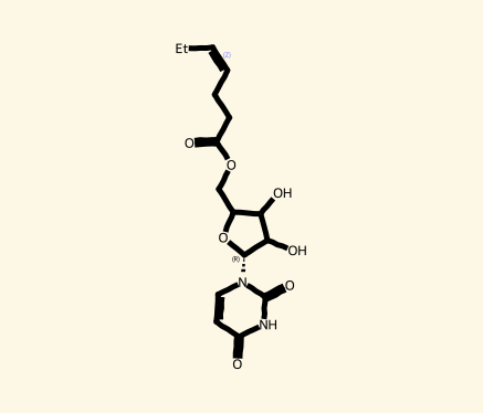 CC/C=C\CCC(=O)OCC1O[C@@H](n2ccc(=O)[nH]c2=O)C(O)C1O